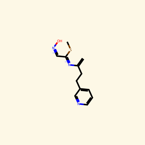 C=C(CCc1cccnc1)/N=C(/C=N\O)SC